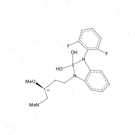 CNC[C@H](CCN1c2ccccc2N(c2c(F)cccc2F)S1(O)O)OC